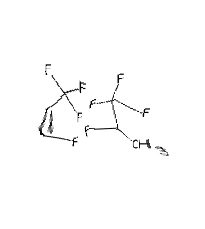 CC(F)C(F)(F)F.F/C=C\C(F)(F)F